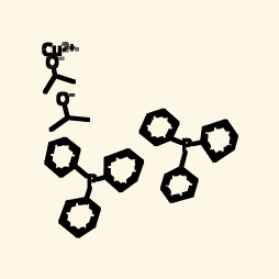 CC(C)[O-].CC(C)[O-].[Cu+2].c1ccc(P(c2ccccc2)c2ccccc2)cc1.c1ccc(P(c2ccccc2)c2ccccc2)cc1